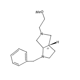 COCCN1CC2[C@@H](CCN2Cc2ccccc2)C1